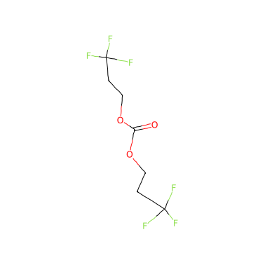 O=C(OCCC(F)(F)F)OCCC(F)(F)F